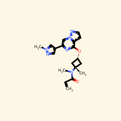 C=CC(=O)N(C)[C@]1(C)C[C@H](Oc2nc(-c3cnn(C)c3)cn3nccc23)C1